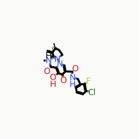 C=C1[C@@H](C)CCN2[C@@H]1N(C)C(=O)c1c(O)c(=O)c(C(=O)NCc3cccc(Cl)c3F)cn12